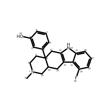 CN1CCC2(c3cccc(O)c3)Cc3[nH]c4cccc(F)c4c3CC2C1